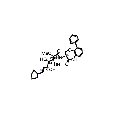 CO[C@@H](C(=O)N[C@H]1COc2c(cccc2-c2ccccc2)NC1=O)[C@H](O)[C@@H](O)[C@H](O)/C=C/C1CCCC1